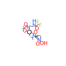 Cc1cc2c(cc1C(=O)N(C(C)C)[C@@H]1CCCN(C(=O)O)C1)N(CCNC(=O)C(F)F)C(=O)C(C)(C)O2